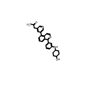 NC(=O)Cc1cncc(-c2cccc3c(-c4cccc(NC5CCC(O)CC5)c4)nccc23)c1